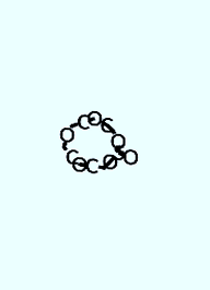 O=S1OCCOCCOCCOCCO1